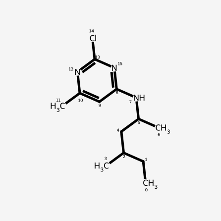 CCC(C)CC(C)Nc1cc(C)nc(Cl)n1